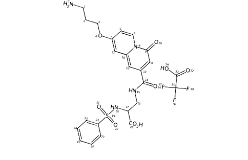 NCCCOc1ccn2c(=O)cc(C(=O)NCC(NS(=O)(=O)c3ccccc3)C(=O)O)cc2c1.O=C(O)C(F)(F)F